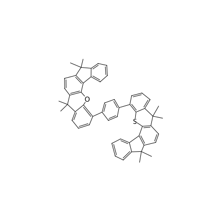 CC1(C)c2cccc(-c3ccc(-c4cccc5c4Sc4c(ccc6c4-c4ccccc4C6(C)C)C5(C)C)cc3)c2Oc2c1ccc1c2-c2ccccc2C1(C)C